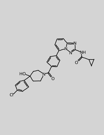 O=C(Nc1nc2cccc(-c3ccc(C(=O)N4CCC(O)(c5ccc(Cl)cc5)CC4)cc3)n2n1)C1CC1